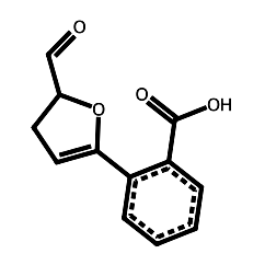 O=CC1CC=C(c2ccccc2C(=O)O)O1